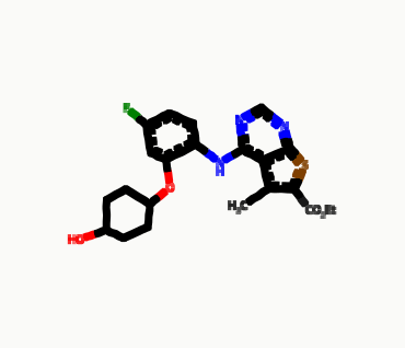 CCOC(=O)c1sc2ncnc(Nc3ccc(F)cc3OC3CCC(O)CC3)c2c1C